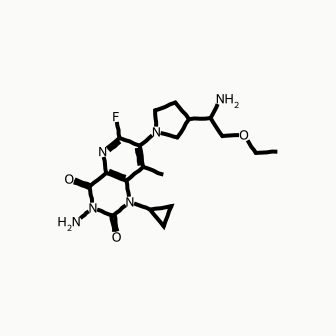 CCOCC(N)C1CCN(c2c(F)nc3c(=O)n(N)c(=O)n(C4CC4)c3c2C)C1